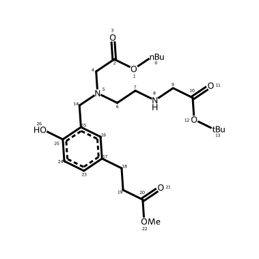 CCCCOC(=O)CN(CCNCC(=O)OC(C)(C)C)Cc1cc(CCC(=O)OC)ccc1O